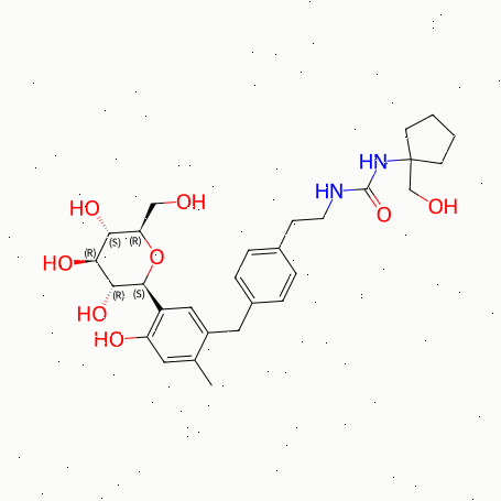 Cc1cc(O)c([C@@H]2O[C@H](CO)[C@@H](O)[C@H](O)[C@H]2O)cc1Cc1ccc(CCNC(=O)NC2(CO)CCCC2)cc1